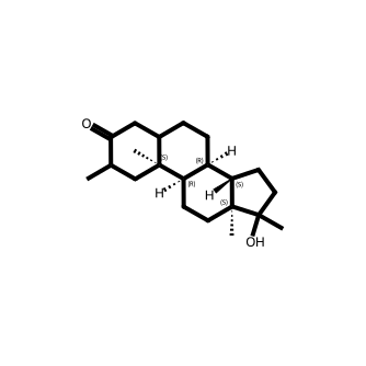 CC1C[C@@]2(C)C(CC[C@@H]3[C@H]2CC[C@@]2(C)[C@H]3CCC2(C)O)CC1=O